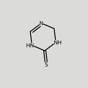 S=C1NC=NCN1